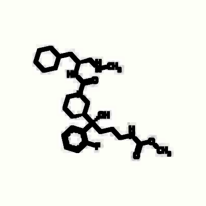 CNC[C@H](CC1CCCCC1)NC(=O)N1CCC[C@@H]([C@@](O)(CCCNC(=O)OC)c2ccccc2F)C1